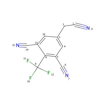 N#CCc1cc(C#N)c(C(F)(F)F)c(C#N)c1